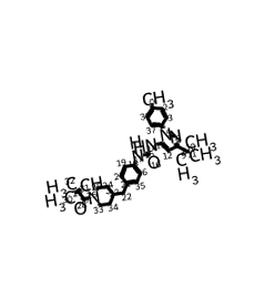 Cc1ccc(-n2nc(C(C)(C)C)cc2NC(=O)Nc2ccc(CC3CCN(C(=O)C(C)(C)C)CC3)cc2)cc1